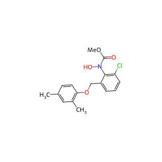 COC(=O)N(O)c1c(Cl)cccc1COc1ccc(C)cc1C